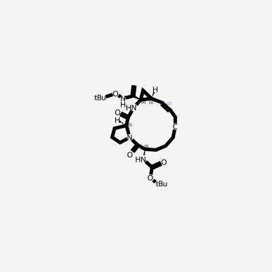 C=C(NOC(C)(C)C)[C@@]12C[C@H]1/C=C\CCCCC[C@H](NC(=O)OC(C)(C)C)C(=O)N1CCC[C@H]1C(=O)N2